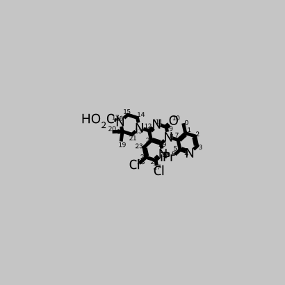 Cc1ccnc(C(C)C)c1-n1c(=O)nc(N2CCN(C(=O)O)C(C)(C)C2)c2cc(Cl)c(Cl)nc21